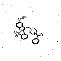 CC(C)Oc1ccc2c(c1)c(CN1CCN(C(=O)c3ccccc3)CC1)c1n2S(=O)(=O)c2ccccc2-1